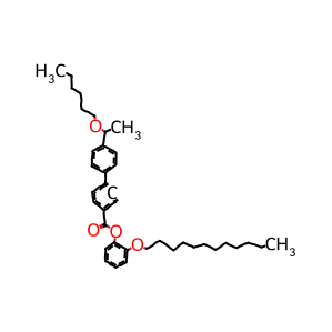 CCCCCCCCCCCCOc1ccccc1OC(=O)c1ccc(-c2ccc(C(C)OCCCCCC)cc2)cc1